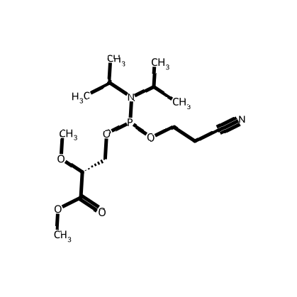 COC(=O)[C@@H](COP(OCCC#N)N(C(C)C)C(C)C)OC